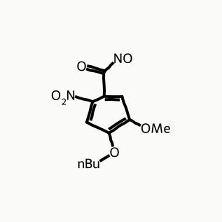 CCCCOc1cc([N+](=O)[O-])c(C(=O)N=O)cc1OC